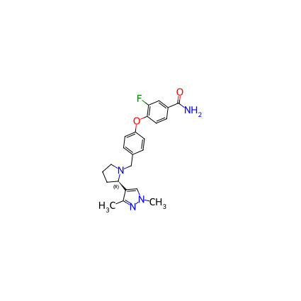 Cc1nn(C)cc1[C@H]1CCCN1Cc1ccc(Oc2ccc(C(N)=O)cc2F)cc1